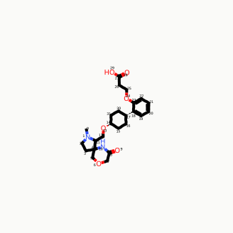 CN1CCC2(COCC(=O)N2)C1CO[C@H]1CC[C@@H](c2ccccc2OCCC(=O)O)CC1